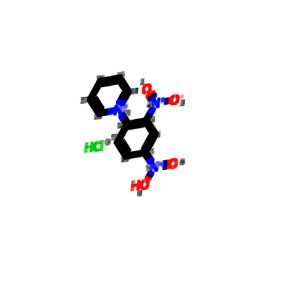 Cl.O=[N+]([O-])c1cc([N+](=O)O)ccc1-[n+]1ccccc1